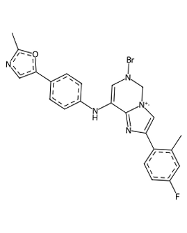 Cc1ncc(-c2ccc(NC3=CN(Br)C[N+]4C=C(c5ccc(F)cc5C)N=C34)cc2)o1